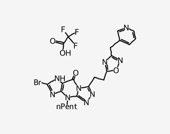 CCCCCn1c2nc(Br)[nH]c2c(=O)n2c(CCc3nc(Cc4cccnc4)no3)nnc12.O=C(O)C(F)(F)F